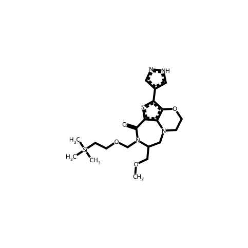 COCC1CN2CCOc3c(-c4cn[nH]c4)sc(c32)C(=O)N1COCC[Si](C)(C)C